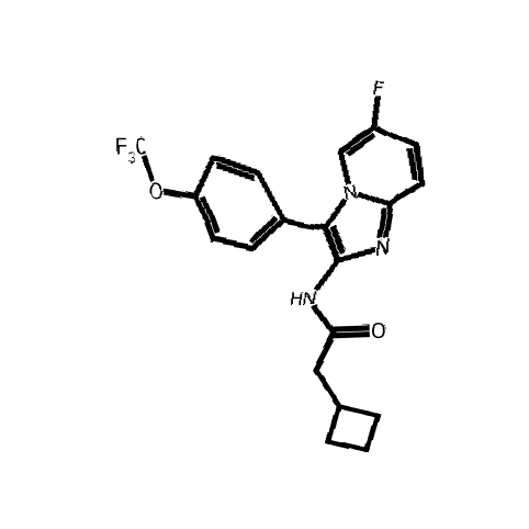 O=C(CC1CCC1)Nc1nc2ccc(F)cn2c1-c1ccc(OC(F)(F)F)cc1